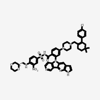 CC1(C)CCC(CN2CCN(c3ccc(C(=O)NS(=O)(=O)c4ccc(NC[C@H]5COCCO5)c([N+](=O)[O-])c4)c(-n4c5ccncc5c5nc6[nH]ccc6cc54)c3)CC2)=C(c2ccc(Cl)cc2)C1